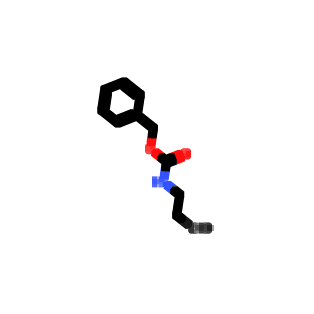 O=[C]CCNC(=O)OCc1ccccc1